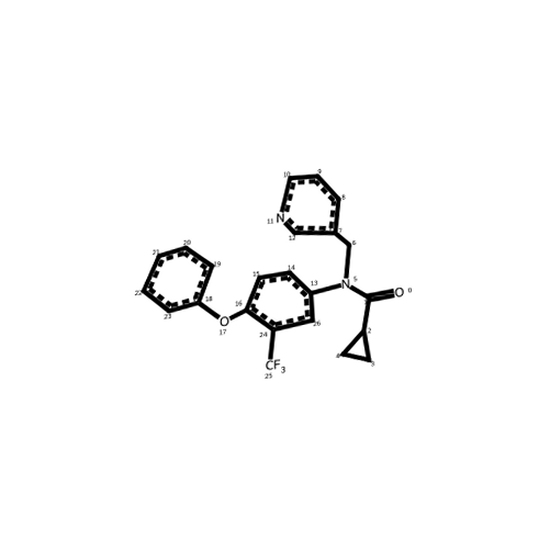 O=C(C1CC1)N(Cc1cccnc1)c1ccc(Oc2ccccc2)c(C(F)(F)F)c1